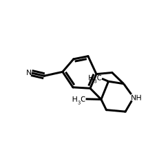 CC1C2Cc3ccc(C#N)cc3C1(C)CCN2